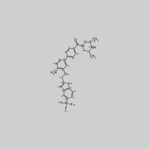 CC1CN(C(=O)c2ccc(-c3cnc(N)c(OCc4nc5cc(C(F)(F)F)ccc5s4)c3)cc2)CC(C)N1